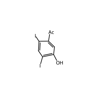 CC(=O)c1cc(O)c(I)cc1I